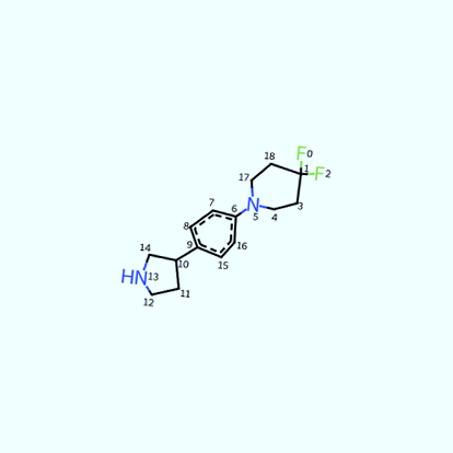 FC1(F)CCN(c2ccc(C3CCNC3)cc2)CC1